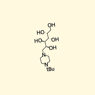 CC(C)(C)N1CCN(C[C@H](O)[C@@H](O)[C@@H](O)[C@H](O)CO)CC1